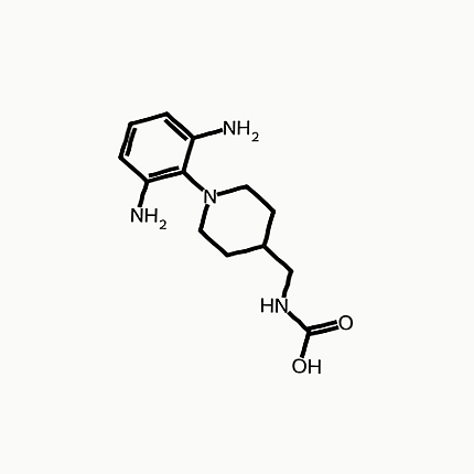 Nc1cccc(N)c1N1CCC(CNC(=O)O)CC1